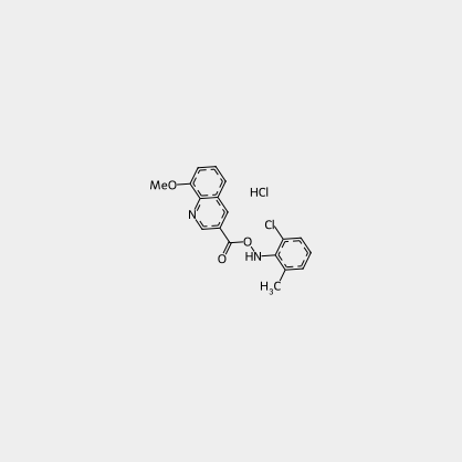 COc1cccc2cc(C(=O)ONc3c(C)cccc3Cl)cnc12.Cl